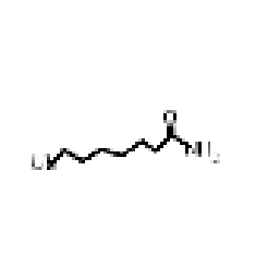 CCCCCCCC(N)=O.[LiH]